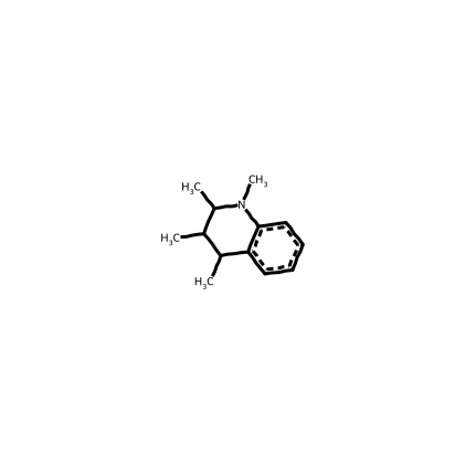 CC1c2ccccc2N(C)C(C)C1C